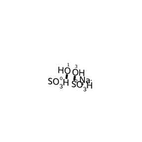 O=S(=O)(O)O.O=S(=O)(O)O.[Na]